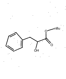 CCCCOC(=O)C(O)Cc1ccccc1